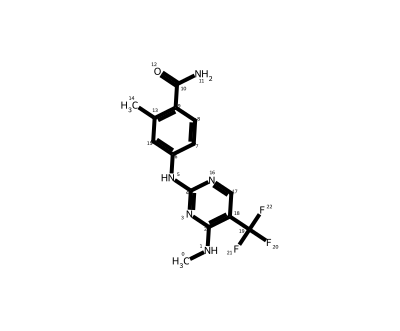 CNc1nc(Nc2ccc(C(N)=O)c(C)c2)ncc1C(F)(F)F